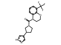 O=C(N1CCC(c2cn[nH]c2)C1)N1CCOc2c1cccc2C(F)(F)F